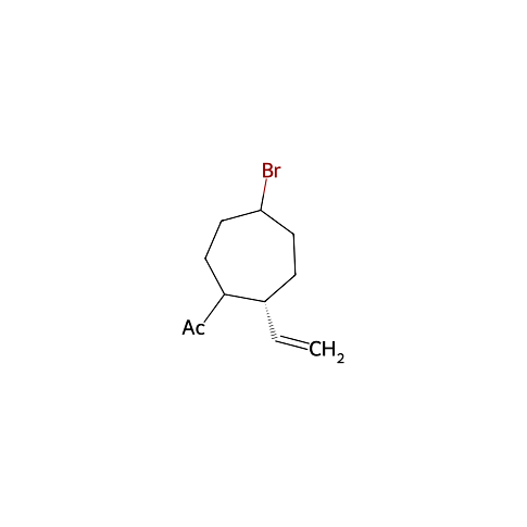 C=C[C@H]1CCC(Br)CCC1C(C)=O